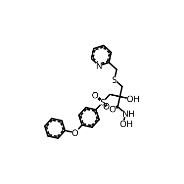 O=C(NO)C(O)(CSCc1ccccn1)CS(=O)(=O)c1ccc(Oc2ccccc2)cc1